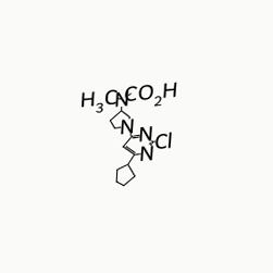 CN(C(=O)O)C1CCN(c2cc(C3CCCC3)nc(Cl)n2)C1